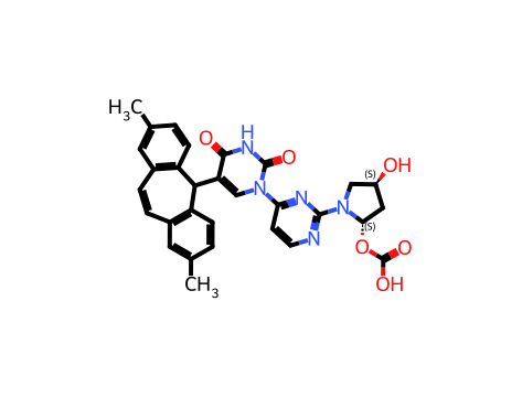 Cc1ccc2c(c1)C=Cc1cc(C)ccc1C2c1cn(-c2ccnc(N3C[C@@H](O)C[C@@H]3OC(=O)O)n2)c(=O)[nH]c1=O